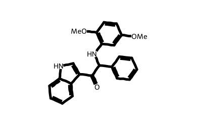 COc1ccc(OC)c(NC(C(=O)c2c[nH]c3ccccc23)c2ccccc2)c1